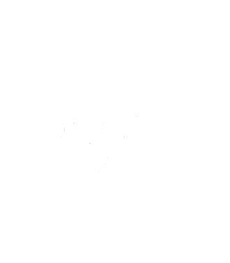 C/C=C(/C)CCOC(C)(CC)P(=O)(O)O